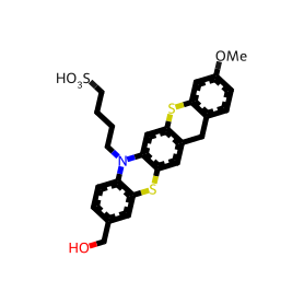 COc1ccc2c(c1)Sc1cc3c(cc1C2)Sc1cc(CO)ccc1N3CCCCS(=O)(=O)O